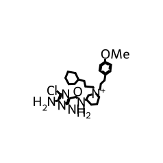 COc1ccc(CCC[N+]2(CCCC3CCCCC3)CCCC(NC(=O)c3nc(Cl)c(N)nc3N)C2)cc1